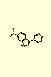 O=[N+]([O-])c1ccc2c(-c3cccnc3)n[nH]c2c1